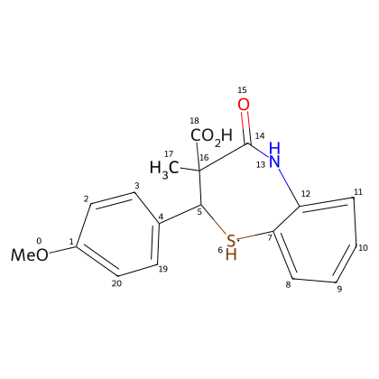 COc1ccc(C2[SH]c3ccccc3NC(=O)C2(C)C(=O)O)cc1